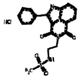 Cl.O=c1c2cccc3nc(-c4ccccc4)c(c(=O)n1CCNS(=O)(=O)C(F)(F)F)n32